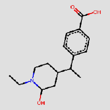 CCN1CCC(C(C)c2ccc(C(=O)O)cc2)CC1O